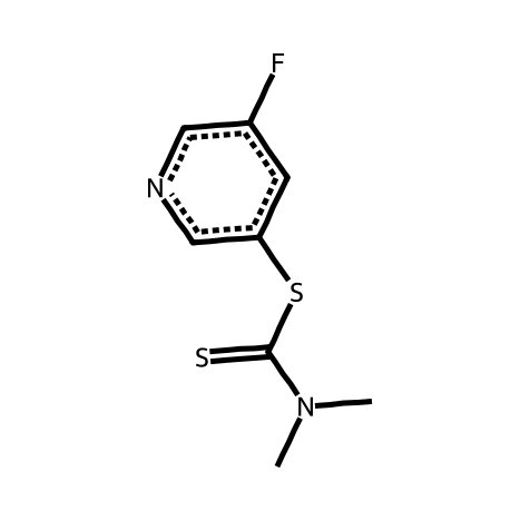 CN(C)C(=S)Sc1cncc(F)c1